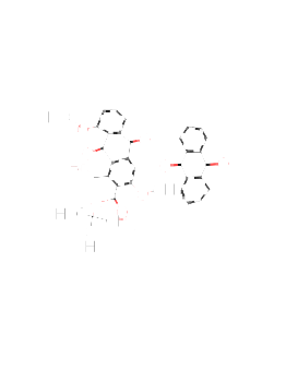 COc1cccc2c1C(=O)c1c(cc(OC)c(C(=O)OC(C)(C)C)c1CBr)C2=O.O=C1c2ccccc2C(=O)c2ccccc21